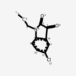 O=C1C(=O)N(CCI)c2ccc(Cl)cc21